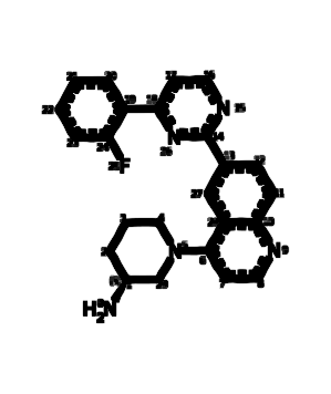 N[C@H]1CCCN(c2ccnc3ccc(-c4nccc(-c5ccccc5F)n4)cc23)C1